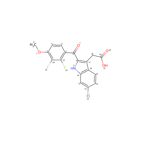 COc1ccc(C(=O)c2[nH]c3cc(Cl)ccc3c2CC(=O)O)c(F)c1F